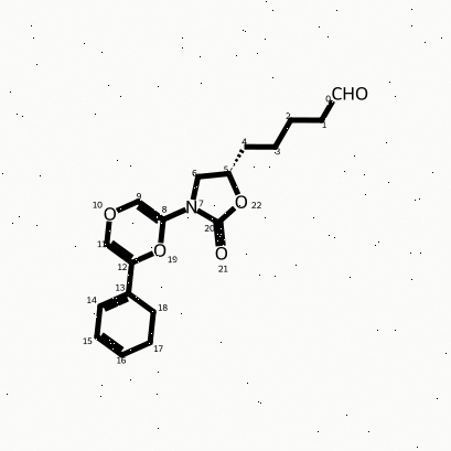 O=CCCCC[C@H]1CN(C2=COC=C(C3=CC=CCC3)O2)C(=O)O1